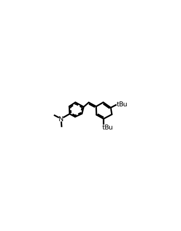 CN(C)c1ccc(C=C2C=C(C(C)(C)C)CC(C(C)(C)C)=C2)cc1